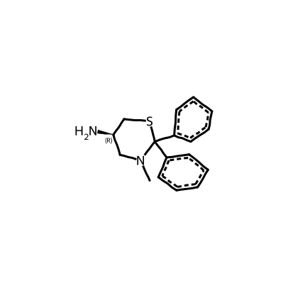 CN1C[C@@H](N)CSC1(c1ccccc1)c1ccccc1